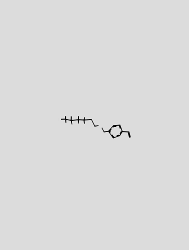 C=Cc1ccc(COCCC(F)(F)C(F)(F)C(F)(F)C(F)(F)F)cc1